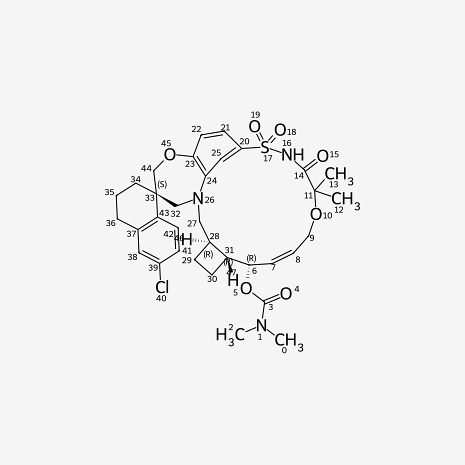 CN(C)C(=O)O[C@H]1C=CCOC(C)(C)C(=O)NS(=O)(=O)c2ccc3c(c2)N(C[C@@H]2CC[C@H]21)C[C@@]1(CCCc2cc(Cl)ccc21)CO3